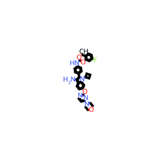 C[C@@H](OC(=O)Nc1ccc(-c2c(N)c3ccc(Oc4nccc(N5CCOCC5)n4)cc3n2C2CCC2)cc1)c1ccc(F)cc1